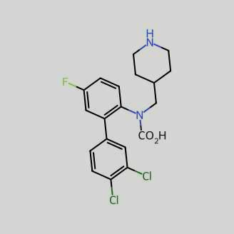 O=C(O)N(CC1CCNCC1)c1ccc(F)cc1-c1ccc(Cl)c(Cl)c1